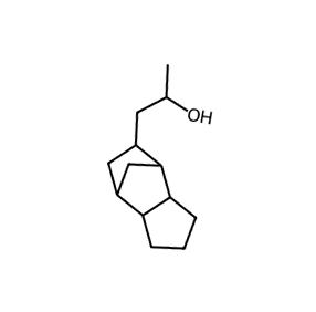 CC(O)CC1CC2CC1C1CCCC21